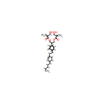 C=C(CO)C(=O)OCC(COC(=O)C(=C)CO)c1ccc(CCC2CCC(CCCCC)CC2)c(F)c1F